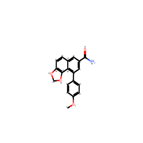 COc1ccc(-c2cc(C(N)=O)cc3ccc4c(c23)OCO4)cc1